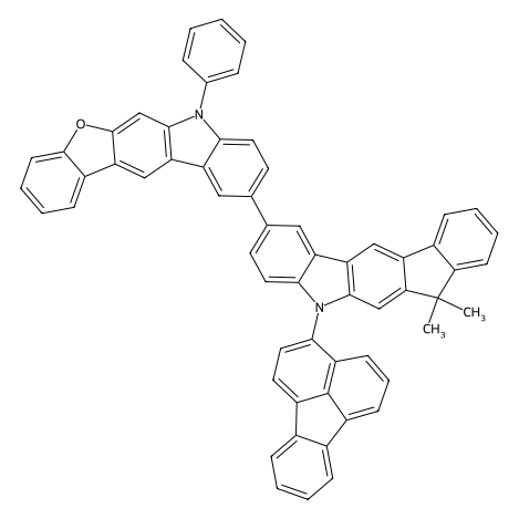 CC1(C)c2ccccc2-c2cc3c4cc(-c5ccc6c(c5)c5cc7c(cc5n6-c5ccccc5)oc5ccccc57)ccc4n(-c4ccc5c6c(cccc46)-c4ccccc4-5)c3cc21